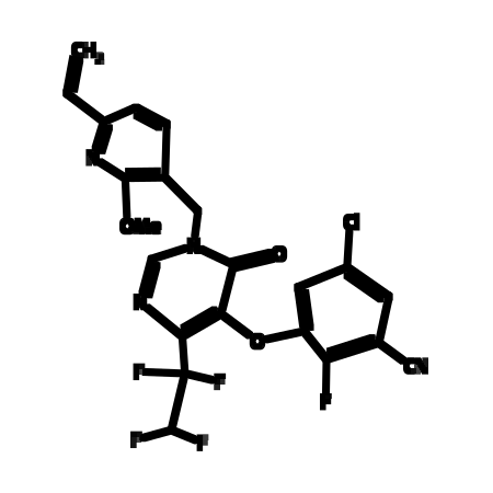 C=Cc1ccc(Cn2cnc(C(F)(F)C(F)F)c(Oc3cc(Cl)cc(C#N)c3F)c2=O)c(OC)n1